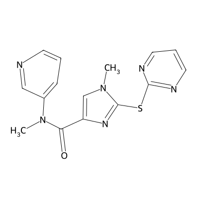 CN(C(=O)c1cn(C)c(Sc2ncccn2)n1)c1cccnc1